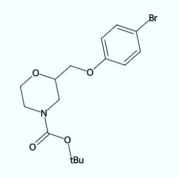 CC(C)(C)OC(=O)N1CCOC(COc2ccc(Br)cc2)C1